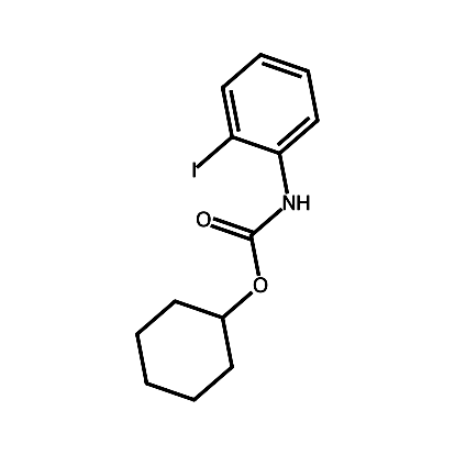 O=C(Nc1ccccc1I)OC1CCCCC1